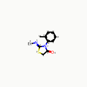 CC/N=C1\SCC(=O)N1c1ccccc1C